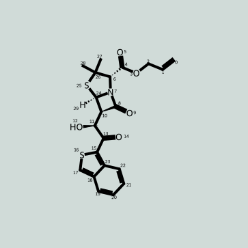 C=CCOC(=O)[C@@H]1N2C(=O)[C@@H]([C@H](O)C(=O)c3scc4ccccc34)[C@H]2SC1(C)C